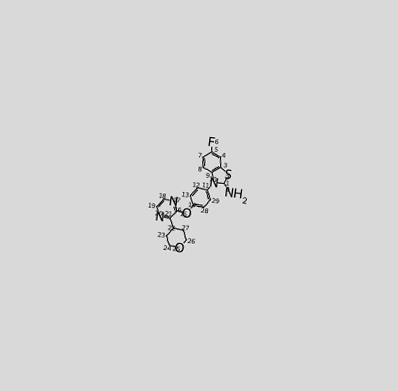 NC1Sc2cc(F)ccc2N1c1ccc(Oc2nccnc2C2CCOCC2)cc1